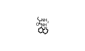 CCC(N)C(=O)Nc1cccc2cccnc12